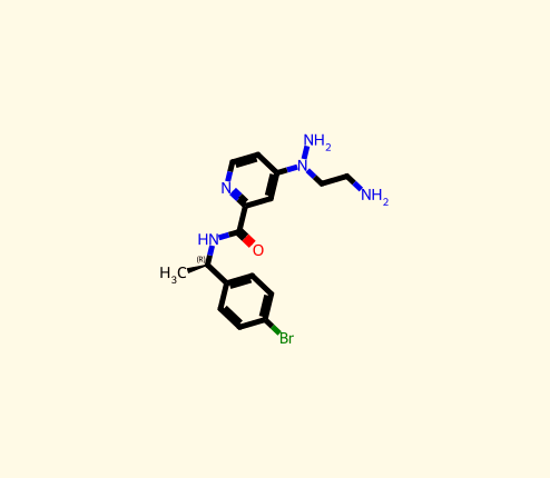 C[C@@H](NC(=O)c1cc(N(N)CCN)ccn1)c1ccc(Br)cc1